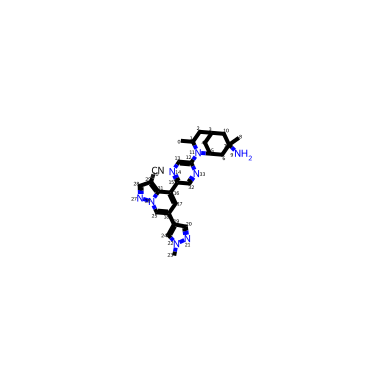 CC1CC2CC(CC(C)(N)C2)N1c1cnc(-c2cc(-c3cnn(C)c3)cn3ncc(C#N)c23)cn1